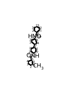 Cc1cccc(C(=O)Nc2ccc(-c3ccc(NC(=O)c4ccccc4)cc3)cc2)c1